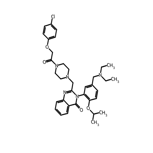 CCN(CC)Cc1ccc(OC(C)C)c(-n2c(CN3CCN(C(=O)COc4ccc(Cl)cc4)CC3)nc3ccccc3c2=O)c1